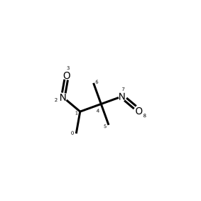 CC(N=O)C(C)(C)N=O